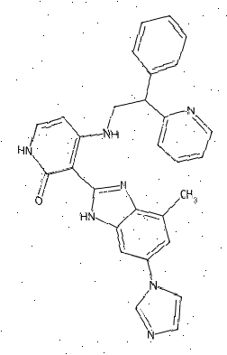 Cc1cc(-n2ccnc2)cc2[nH]c(-c3c(NCC(c4ccccc4)c4ccccn4)cc[nH]c3=O)nc12